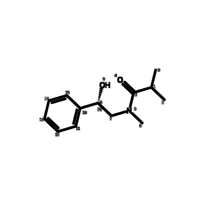 CC(C)C(=O)N(C)C[C@@H](O)c1ccccc1